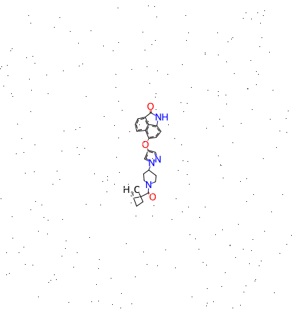 CC1(C(=O)N2CCC(n3cc(Oc4ccc5c6c(cccc46)C(=O)N5)cn3)CC2)CCC1